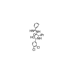 CC(C)C(NC(O)c1ccc(Cl)c(Cl)c1)C(=O)NC(=N)c1ccccc1